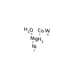 O.[Co].[MgH2].[Ni].[W]